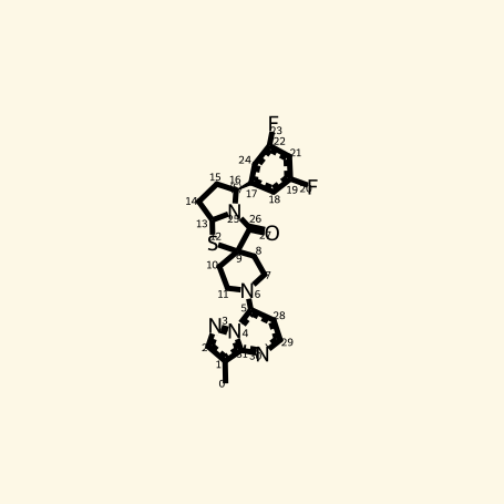 Cc1cnn2c(N3CCC4(CC3)SC3CC[C@@H](c5cc(F)cc(F)c5)N3C4=O)ccnc12